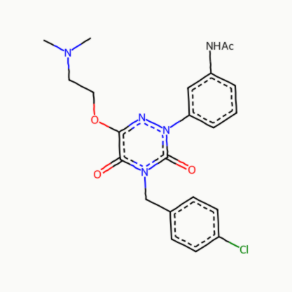 CC(=O)Nc1cccc(-n2nc(OCCN(C)C)c(=O)n(Cc3ccc(Cl)cc3)c2=O)c1